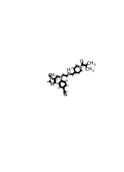 CC(C)C(=O)N1CCC(CNCCN(Cc2cncn2C)c2ccc(C#N)cc2)CC1